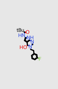 CC(C)(C)C(=O)Nc1cc2c([nH]1)N=CN(CCc1cccc(F)c1)C2O